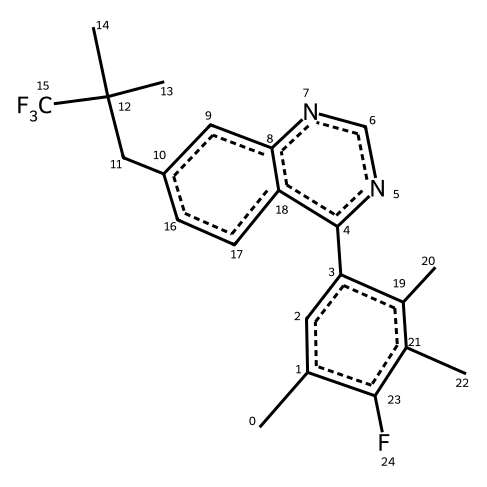 Cc1cc(-c2ncnc3cc(CC(C)(C)C(F)(F)F)ccc23)c(C)c(C)c1F